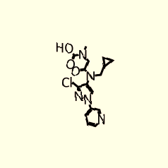 CN(CC(=O)N(CC1CC1)c1cn(-c2cccnc2)nc1Cl)C(=O)O